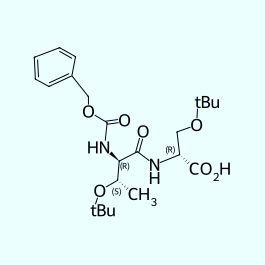 C[C@H](OC(C)(C)C)[C@@H](NC(=O)OCc1ccccc1)C(=O)N[C@H](COC(C)(C)C)C(=O)O